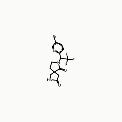 O=C1CC2(CCN(C(c3ccc(Br)cn3)C(F)(F)F)C2=O)CN1